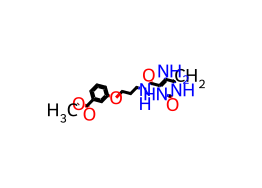 C=C1NC(=O)NC(C(=O)NCCCOc2cccc(C(=O)OC)c2)=C1N